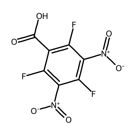 O=C(O)c1c(F)c([N+](=O)[O-])c(F)c([N+](=O)[O-])c1F